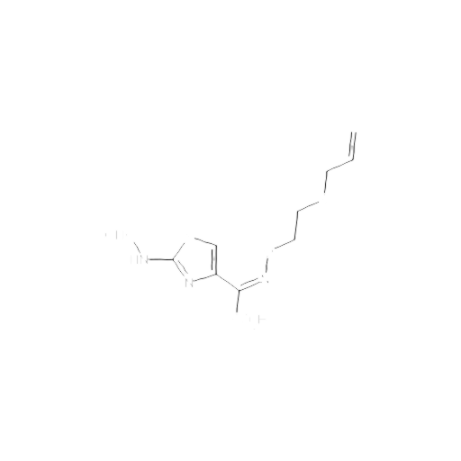 C=CCSCCO/N=C(/C(=O)O)c1csc(NC=O)n1